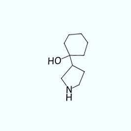 OC1(C2CCNC2)CCCCC1